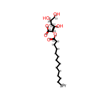 CC(C)CCCCCCCCCCCCC(=O)OC1=C(O)[C@@H]([C@@H](O)CO)OC1=O